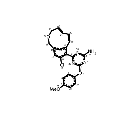 COc1ccc(Oc2nc(N)nc(-c3c(Cl)cc4cc3/C=C\C=C\COC4)n2)cc1